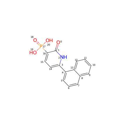 O=c1[nH]c(-c2cccc3ccccc23)ccc1P(=O)(O)O